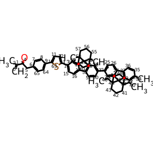 C=C(C)C(=O)Cc1ccc(-c2ccc(-c3ccc4c(c3)C3(c5cc(-c6ccc7c(c6)C6(c8cc(C)ccc8-7)C7(CC)CCCC6(CC)CCC7)ccc5-4)C4(C)CCCC3(C)CCC4)s2)cc1